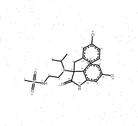 CC(C)N(CCNS(C)(=O)=O)C1(Cc2cccc(Cl)c2)C(=O)Nc2cc(Cl)ccc21